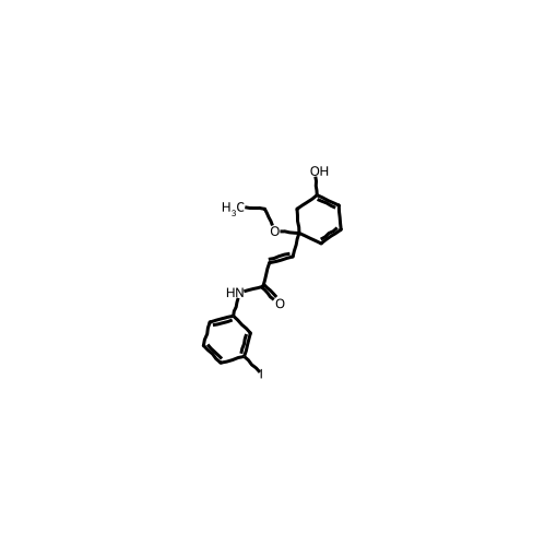 CCOC1(C=CC(=O)Nc2cccc(I)c2)C=CC=C(O)C1